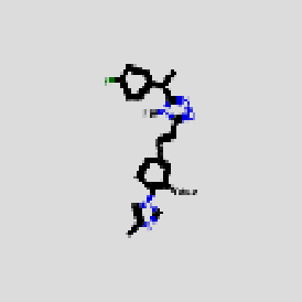 CCn1c(C=Cc2ccc(-n3cnc(C)c3)c(OC)c2)nnc1C(C)c1ccc(F)cc1